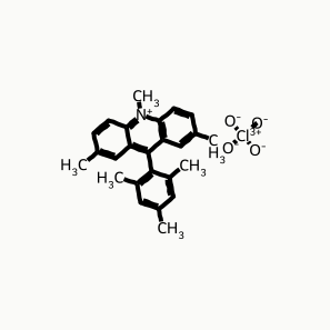 Cc1cc(C)c(-c2c3cc(C)ccc3[n+](C)c3ccc(C)cc23)c(C)c1.[O-][Cl+3]([O-])([O-])[O-]